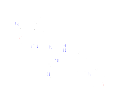 NC(=O)C1C2C=CC(C2)C1Nc1nc(Nc2ccc(N3CCOCC3)cc2)[nH]c2nccc1-2